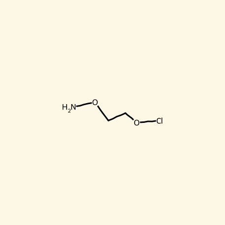 NOCCOCl